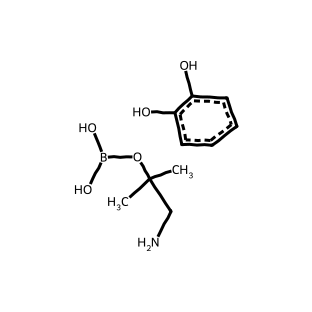 CC(C)(CN)OB(O)O.Oc1ccccc1O